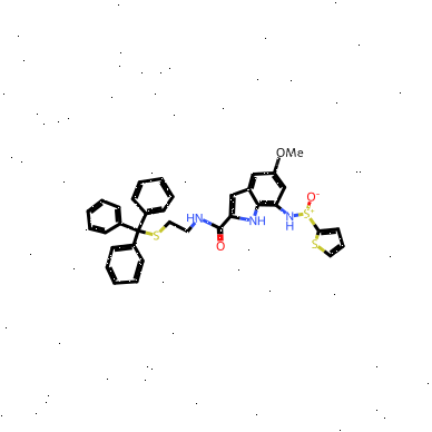 COc1cc(N[S+]([O-])c2cccs2)c2[nH]c(C(=O)NCCSC(c3ccccc3)(c3ccccc3)c3ccccc3)cc2c1